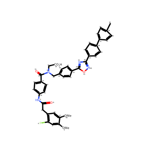 COc1cc(F)c(CC(=O)Nc2ccc(C(=O)N(CC(=O)O)Cc3ccc(-c4nc(-c5ccc(-c6ccc(C)cc6)cc5)no4)cc3)cc2)cc1OC